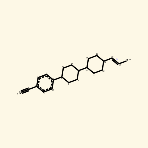 N#Cc1ccc(C2CCC(C3CCC(/C=C/F)CC3)CC2)cc1